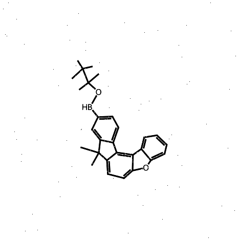 CC1(C)c2cc(BOC(C)(C)C(C)(C)C)ccc2-c2c1ccc1oc3ccccc3c21